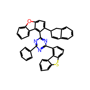 C1=CC(c2ccc3oc4ccccc4c3c2-c2nc(-c3ccccc3)nc(-c3cccc4sc5ccccc5c34)n2)Cc2ccccc21